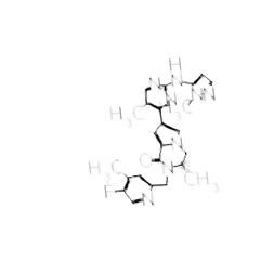 Cc1cc(CN2C(=O)c3cc(-c4nc(Nc5ccnn5C)ncc4C)cn3C[C@H]2C)ncc1F